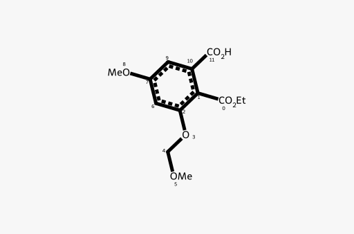 CCOC(=O)c1c(OCOC)cc(OC)cc1C(=O)O